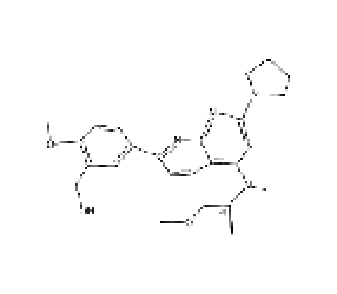 COC[C@H](C)N(C)c1nc(N2CCCC2)nc2nc(-c3ccc(OC)c(CO)c3)ccc12